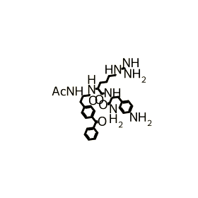 CC(=O)NC(Cc1ccc(C(=O)c2ccccc2)cc1)C(=O)NC(CCCCNC(=N)N)C(=O)NC(Cc1ccc(N)cc1)C(N)=O